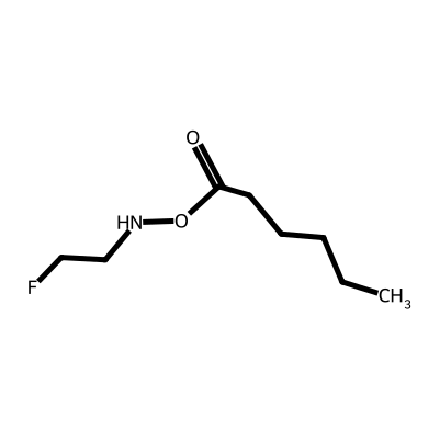 CCCCCC(=O)ONCCF